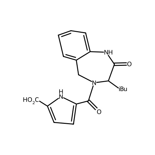 CCC(C)C1C(=O)Nc2ccccc2CN1C(=O)c1ccc(C(=O)O)[nH]1